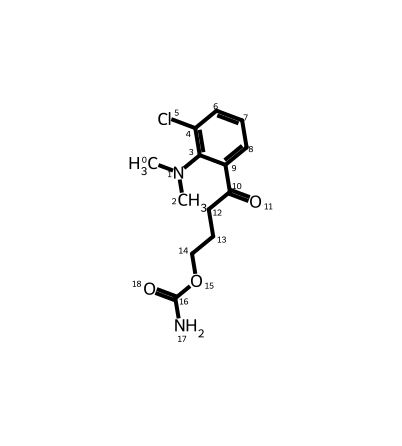 CN(C)c1c(Cl)cccc1C(=O)CCCOC(N)=O